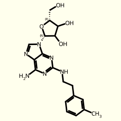 Cc1cccc(CCNc2nc(N)c3ncn([C@@H]4O[C@H](CO)C(O)C4O)c3n2)c1